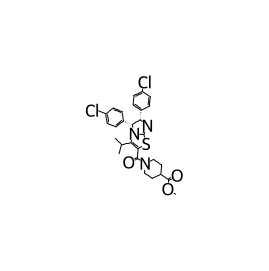 COC(=O)C1CCN(C(=O)C2=C(C(C)C)N3C(=N[C@@H](c4ccc(Cl)cc4)[C@H]3c3ccc(Cl)cc3)S2)CC1